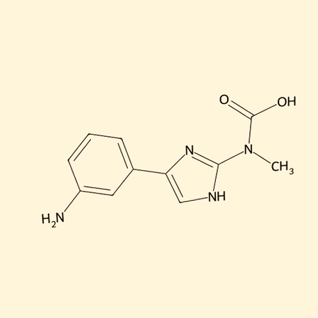 CN(C(=O)O)c1nc(-c2cccc(N)c2)c[nH]1